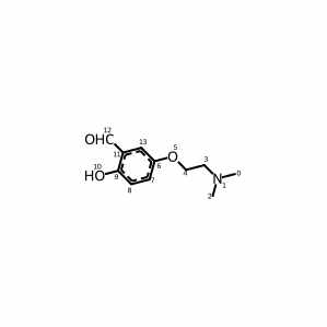 CN(C)CCOc1ccc(O)c(C=O)c1